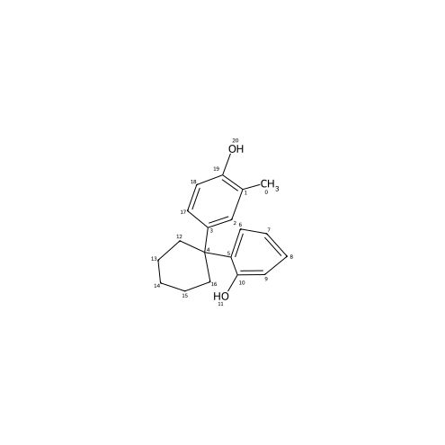 Cc1cc(C2(c3ccccc3O)CCCCC2)ccc1O